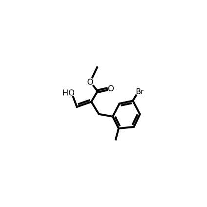 COC(=O)C(=CO)Cc1cc(Br)ccc1C